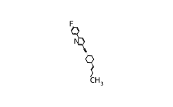 CCC/C=C/[C@H]1CC[C@H](C#Cc2ccc(-c3ccc(F)cc3)nc2)CC1